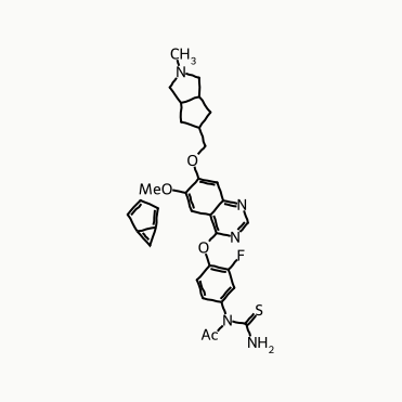 COc1cc2c(Oc3ccc(N(C(C)=O)C(N)=S)cc3F)ncnc2cc1OCC1CC2CN(C)CC2C1.c1cc2cc-2c1